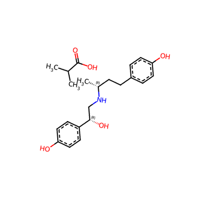 CC(C)C(=O)O.C[C@H](CCc1ccc(O)cc1)NC[C@H](O)c1ccc(O)cc1